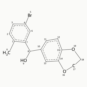 Cc1ccc(Br)cc1C(O)c1ccc2c(c1)OCCO2